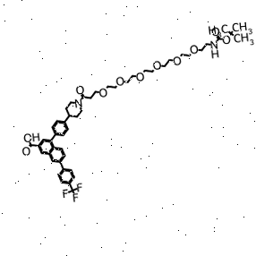 CC(C)(C)OC(=O)NCCOCCOCCOCCOCCOCCOCCC(=O)N1CCC(c2ccc(-c3cc(C(=O)O)cc4cc(-c5ccc(C(F)(F)F)cc5)ccc34)cc2)CC1